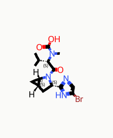 CC(C)[C@@H](C(=O)N1[C@H](c2ncc(Br)[nH]2)C[C@@H]2C[C@@H]21)N(C)C(=O)O